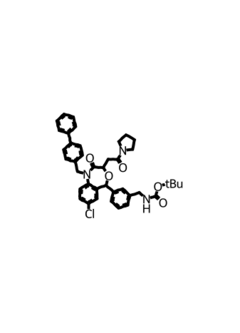 CC(C)(C)OC(=O)NCc1cccc(C2OC(CC(=O)N3CCCC3)C(=O)N(Cc3ccc(-c4ccccc4)cc3)c3ccc(Cl)cc32)c1